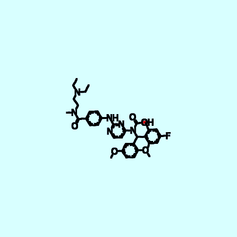 CCN(CC)CCN(C)C(=O)c1ccc(Nc2nccc(N(C(=O)O)C(c3cc(OC)ccc3OC)c3c(C)cc(F)cc3C)n2)cc1